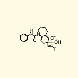 O=C(Nc1ccccc1)N1CCCCC2=CC3(C=C(F)C3(O)C(F)(F)F)CC=C21